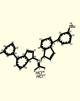 C[C](C)=[Hf]([CH]1C=Cc2c(-c3cccc(C(C)(C)C)c3)cccc21)[CH]1C=Cc2c(-c3cccc(C(C)(C)C)c3)cccc21.Cl.Cl